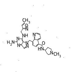 Cc1cc(CNc2nc(N)nc3cnn(Cc4ccc(C(=O)NC5CCN(C)CC5)c5cccnc45)c23)no1